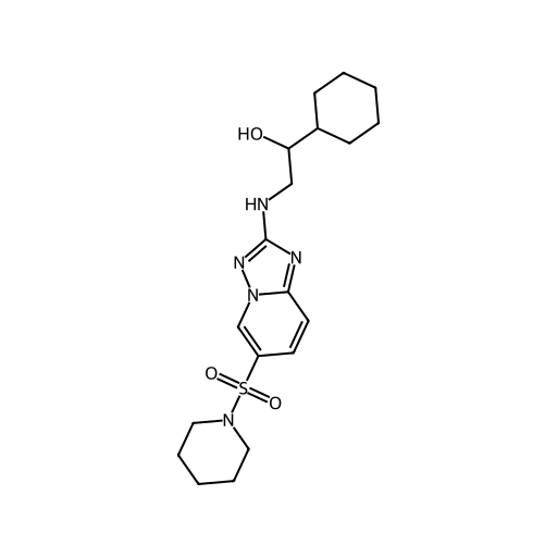 O=S(=O)(c1ccc2nc(NCC(O)C3CCCCC3)nn2c1)N1CCCCC1